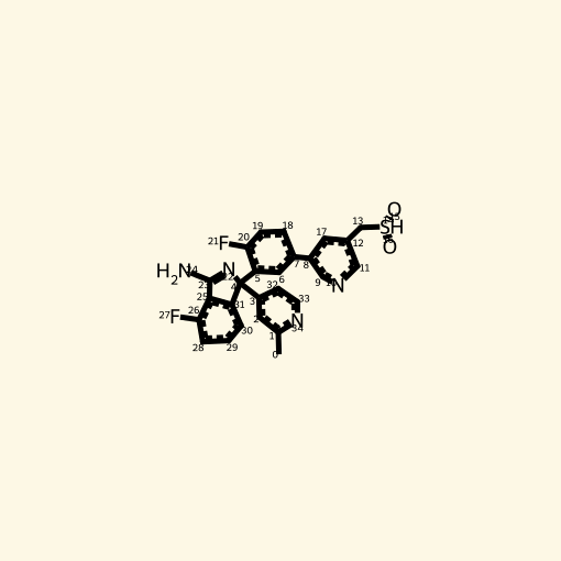 Cc1cc(C2(c3cc(-c4cncc(C[SH](=O)=O)c4)ccc3F)N=C(N)c3c(F)cccc32)ccn1